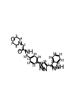 O=C(CN1CCOCC1)NCc1ccc(-n2cc(-c3n[nH]c4ccccc34)nn2)cc1